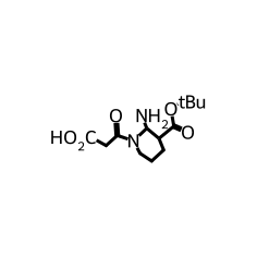 CC(C)(C)OC(=O)C1CCCN(C(=O)CC(=O)O)C1N